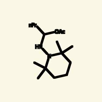 CCCC(NN1C(C)(C)CCCC1(C)C)OC(C)=O